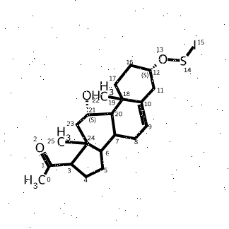 CC(=O)C1CCC2C3CC=C4C[C@@H](OSI)CCC4(C)C3[C@@H](O)CC12C